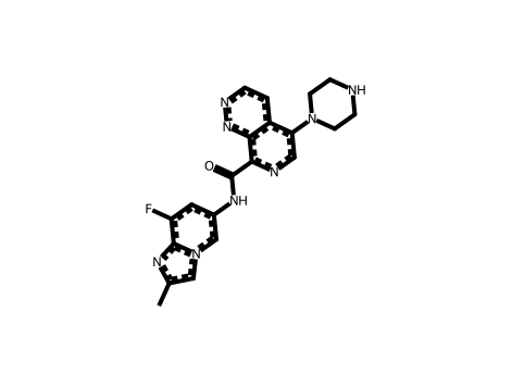 Cc1cn2cc(NC(=O)c3ncc(N4CCNCC4)c4ccnnc34)cc(F)c2n1